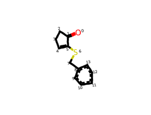 O=C1CCC=C1SCc1ccccc1